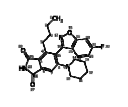 CCCCc1c2c(cc(N3CCCCC3)c1-c1noc3cc(F)ccc13)C(=O)NC2=O